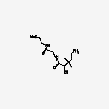 CSCCNC(=O)CCNC(=O)C(C#N)C(C)(C)CCP